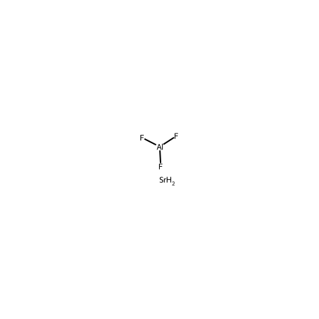 [F][Al]([F])[F].[SrH2]